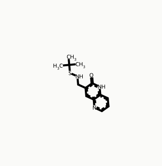 CC(C)(C)SNCc1cc2ncccc2[nH]c1=O